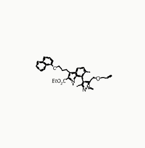 C=CCOCc1c(-c2c(C)ccc3c(CCCOc4cccc5ccccc45)c(C(=O)OCC)n(C)c23)c(C)nn1C